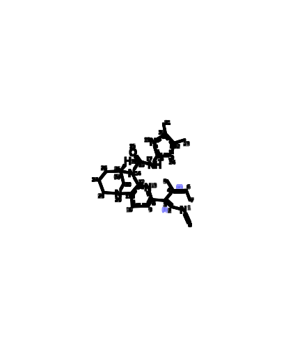 C=N/C=C(\C(C)=C/C)c1ccc2c(n1)N(C(=O)Nc1nc(C)c(C)s1)[C@H]1CCCN2C1